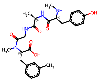 CN[C@@H](Cc1ccc(O)cc1)C(=O)N[C@H](C)C(=O)NCC(=O)N(C)[C@@H](Cc1cccc(C)c1)C(=O)O